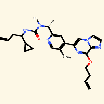 C=CCCOc1nc(-c2cc([C@@H](C)N(CC)C(=O)NC(CC=C)C3CC3)ncc2OC)cn2ccnc12